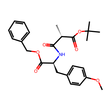 COc1ccc(C[C@H](NC(=O)[C@H](C)C(=O)OC(C)(C)C)C(=O)OCc2ccccc2)cc1